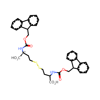 O=C(NC(CCSSCC[C@H](NC(=O)OCC1c2ccccc2-c2ccccc21)C(=O)O)C(=O)O)OCC1c2ccccc2-c2ccccc21